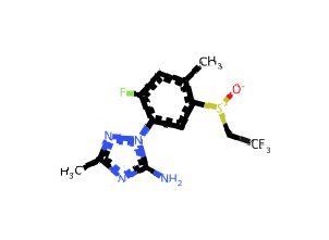 Cc1nc(N)n(-c2cc([S+]([O-])CC(F)(F)F)c(C)cc2F)n1